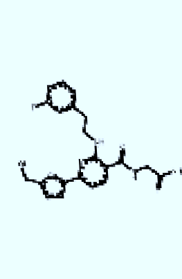 NC(=O)CNC(=O)c1ccc(-c2ccc(CO)s2)nc1NCCc1cccc(F)c1